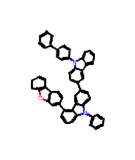 C1=Cc2c(oc3cc(-c4cccc5c4c4cc(-c6ccc7c(c6)c6ccccc6n7-c6ccc(-c7ccccc7)cc6)ccc4n5-c4ccccc4)ccc23)CC1